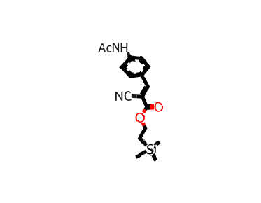 CC(=O)Nc1ccc(/C=C(\C#N)C(=O)OCC[Si](C)(C)C)cc1